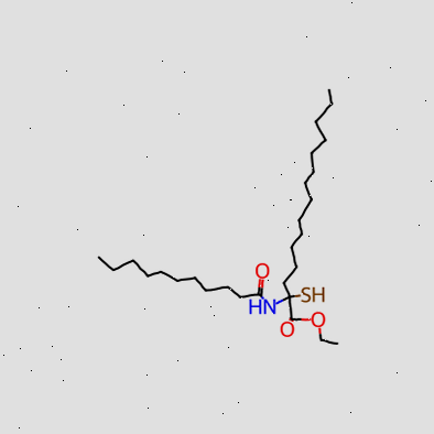 CCCCCCCCCCCCCC(S)(NC(=O)CCCCCCCCCC)C(=O)OCC